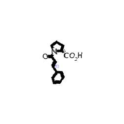 O=C(O)[C@@H]1CCCN1C(=O)/C=C/c1ccccc1